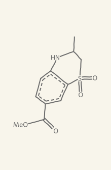 COC(=O)c1ccc2c(c1)S(=O)(=O)CC(C)N2